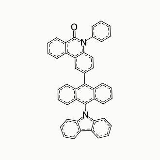 O=c1c2ccccc2c2cc(-c3c4ccccc4c(-n4c5ccccc5c5ccccc54)c4ccccc34)ccc2n1-c1ccccc1